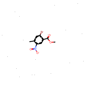 COC(=O)c1cc([N+](=O)[O-])c(C)cc1Br